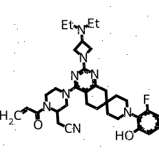 C=CC(=O)N1CCN(c2nc(N3CC(N(CC)CC)C3)nc3c2CCC2(CCN(c4c(O)cccc4F)CC2)C3)CC1CC#N